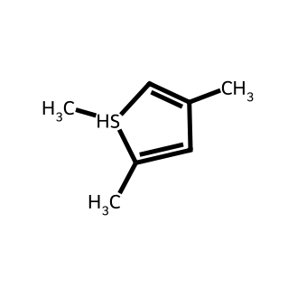 CC1=C[SH](C)C(C)=C1